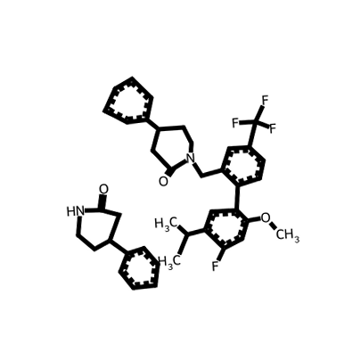 COc1cc(F)c(C(C)C)cc1-c1ccc(C(F)(F)F)cc1CN1CCC(c2ccccc2)CC1=O.O=C1CC(c2ccccc2)CCN1